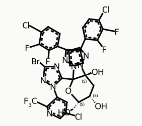 OC[C@@H]1OC(c2nc(Br)nn2-c2cc(Cl)cnc2C(F)(F)F)(n2cc(-c3ccc(Cl)c(F)c3F)cn2)[C@](O)(n2cc(-c3ccc(Cl)c(F)c3F)cn2)C[C@@H]1O